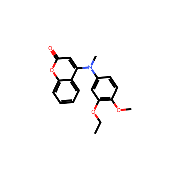 CCOc1cc(N(C)c2cc(=O)oc3ccccc23)ccc1OC